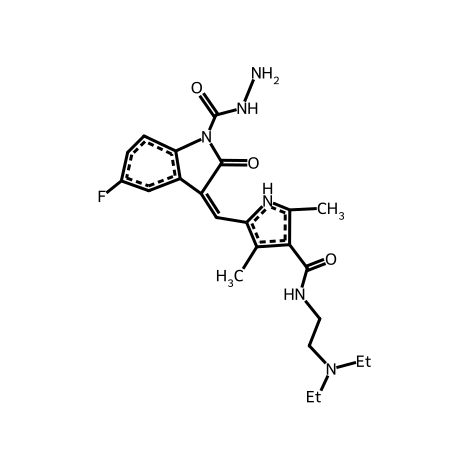 CCN(CC)CCNC(=O)c1c(C)[nH]c(/C=C2\C(=O)N(C(=O)NN)c3ccc(F)cc32)c1C